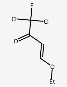 CCO/C=C/C(=O)C(F)(Cl)Cl